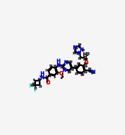 COc1cc(C(=O)NC2CC(F)(F)C2)ccc1Nc1ncc(-c2ccc(C#N)c(O[Si@@H](C)Cn3cncn3)c2)cn1